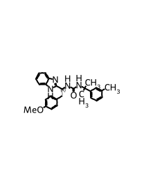 COc1ccc(C[C@@H](NC(=O)NC(C)(C)c2cccc(C)c2)c2nc3ccccc3[nH]2)cc1